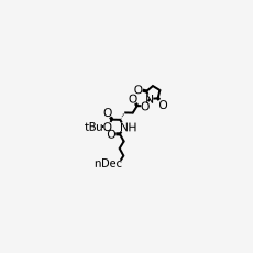 CCCCCCCCCCCCCC(=O)N[C@@H](CCC(=O)ON1C(=O)CCC1=O)C(=O)OC(C)(C)C